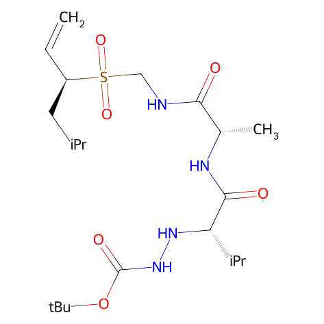 C=C[C@H](CC(C)C)S(=O)(=O)CNC(=O)[C@H](C)NC(=O)[C@@H](NNC(=O)OC(C)(C)C)C(C)C